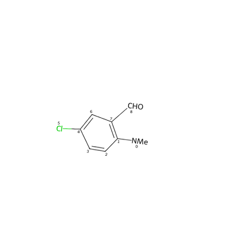 CNc1ccc(Cl)cc1C=O